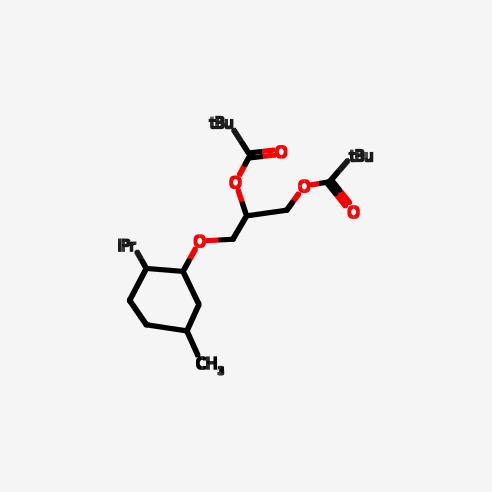 CC1CCC(C(C)C)C(OCC(COC(=O)C(C)(C)C)OC(=O)C(C)(C)C)C1